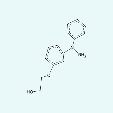 NN(c1ccccc1)c1cccc(OCCO)c1